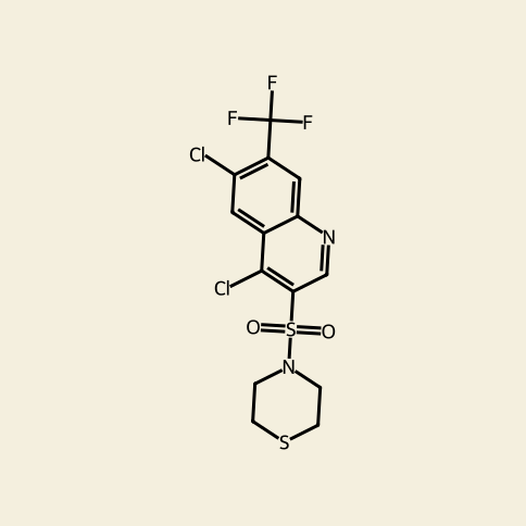 O=S(=O)(c1cnc2cc(C(F)(F)F)c(Cl)cc2c1Cl)N1CCSCC1